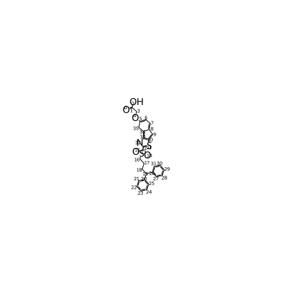 O=C(O)COC1=CC=C2C=c3sc(S(=O)(=O)CCCC(c4ccccc4)c4ccccc4)nc3=C2C1